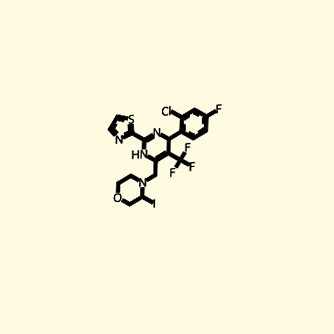 Fc1ccc(C2N=C(c3nccs3)NC(CN3CCOCC3I)=C2C(F)(F)F)c(Cl)c1